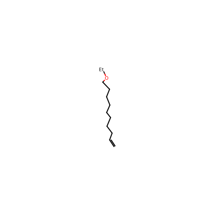 C=CCCCCCCCCOCC